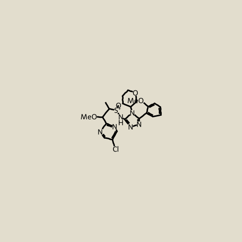 COc1ccccc1-c1nnc(N[S+]([O-])C(C)C(OC)c2ncc(Cl)cn2)n1C1CCCOC1